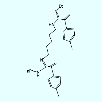 C=C(/C(=N\CC)NCCCCC/N=C(/NCCC)C(=C)c1ccc(C)cc1)c1ccc(C)cc1